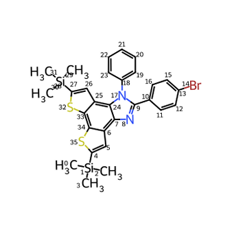 C[Si](C)(C)c1cc2c3nc(-c4ccc(Br)cc4)n(-c4ccccc4)c3c3cc([Si](C)(C)C)sc3c2s1